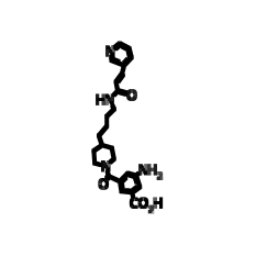 Nc1cc(C(=O)O)cc(C(=O)N2CCC(CCCCNC(=O)C=Cc3cccnc3)CC2)c1